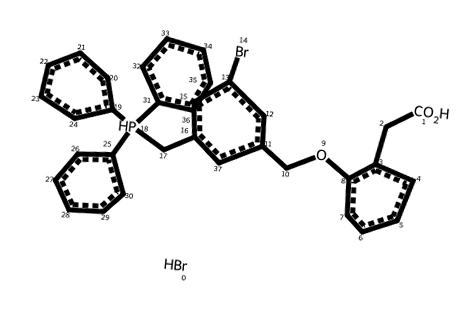 Br.O=C(O)Cc1ccccc1OCc1cc(Br)cc(C[PH](c2ccccc2)(c2ccccc2)c2ccccc2)c1